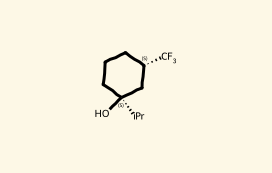 CC(C)[C@]1(O)CCC[C@H](C(F)(F)F)C1